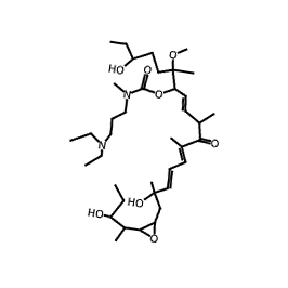 CCC(O)CCC(C)(OC)C(/C=C/C(C)C(=O)/C(C)=C/C=C/C(C)(O)CC1OC1C(C)C(O)CC)OC(=O)N(C)CCCN(CC)CC